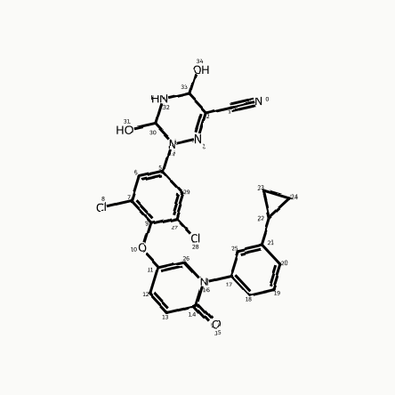 N#CC1=NN(c2cc(Cl)c(Oc3ccc(=O)n(-c4cccc(C5CC5)c4)c3)c(Cl)c2)C(O)NC1O